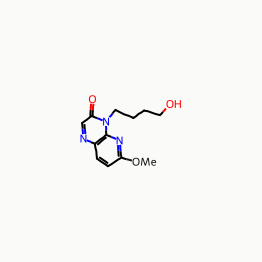 COc1ccc2ncc(=O)n(CCCCO)c2n1